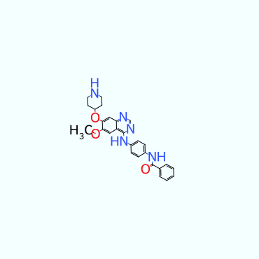 COc1cc2c(Nc3ccc(NC(=O)c4ccccc4)cc3)ncnc2cc1OC1CCNCC1